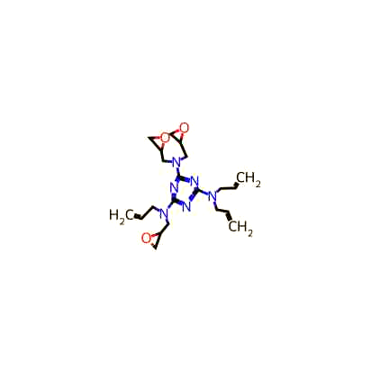 C=CCN(CC=C)c1nc(N(CC=C)CC2CO2)nc(N(CC2CO2)CC2CO2)n1